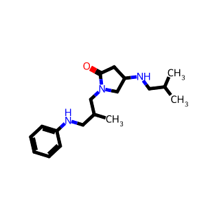 CC(C)CNC1CC(=O)N(CC(C)CNc2ccccc2)C1